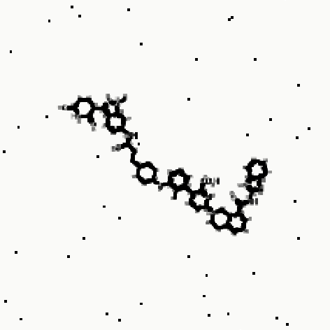 Cc1c(OC2CCC(CCC(=O)Nc3ccc4c(C5CCC(=O)NC5=O)nn(C)c4c3)CC2)cccc1-c1ccc(N2CCc3cccc(C(=O)Nc4nc5ccccc5s4)c3C2)nc1C(=O)O